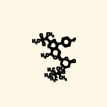 CC(C)c1nc(N(C)S(C)(=O)=O)nc(-c2ccc(F)cc2)c1/C=C/[C@@H]1C[C@@H](O[Si](C)(C)C(C)(C)C)CC(=O)O1